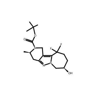 C[C@@H]1Cc2nn3c(c2CN1C(=O)OC(C)(C)C)C(F)(F)CC[C@@H](O)C3